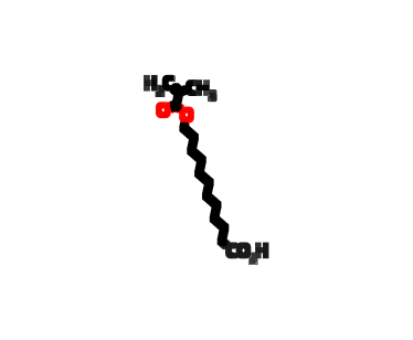 C=C(C)C(=O)OCCCCCCCCCCCC(=O)O